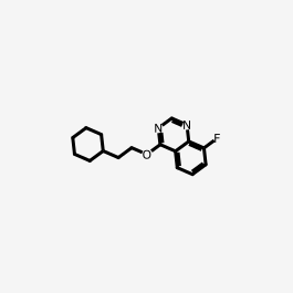 Fc1cccc2c(OCCC3CCCCC3)ncnc12